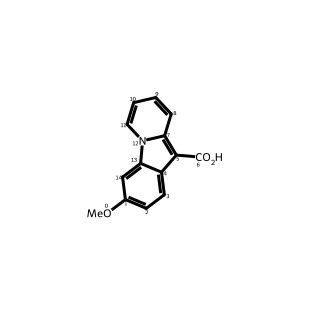 COc1ccc2c(C(=O)O)c3ccccn3c2c1